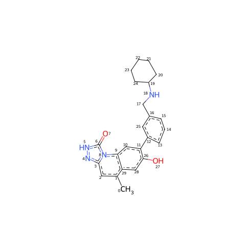 Cc1cc2n[nH]c(=O)n2c2cc(-c3cccc(CNC4CCCCC4)c3)c(O)cc12